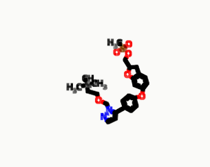 C[Si](C)(C)CCOCn1nccc1-c1ccc(Oc2ccc3c(c2)OC(COS(C)(=O)=O)C3)cc1